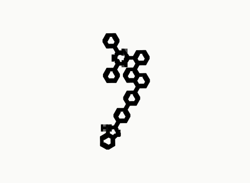 c1ccc(-c2nc(-c3ccccc3)nc(-c3ccccc3-c3cccc4c(-c5ccc(-c6ccc(C7Nc8ccccc8S7)cc6)cc5)cccc34)n2)cc1